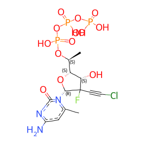 Cc1cc(N)nc(=O)n1[C@@H]1O[C@H]([C@H](C)OP(=O)(O)OP(=O)(O)OP(=O)(O)O)[C@H](O)C1(F)C#CCl